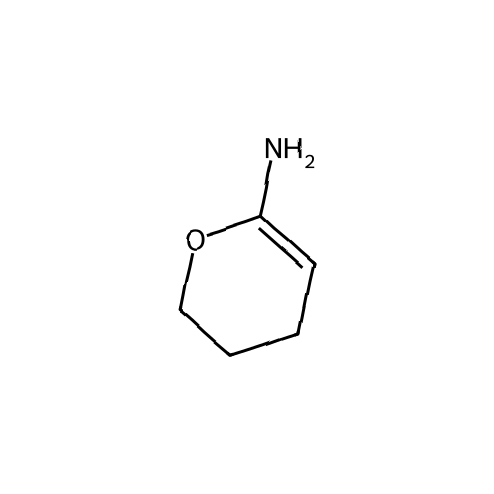 NC1=CCCCO1